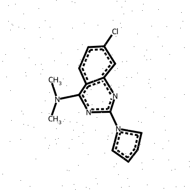 CN(C)c1nc(-n2cccc2)nc2cc(Cl)ccc12